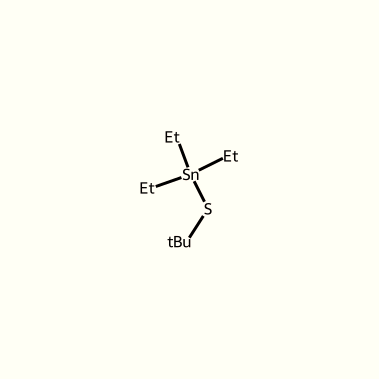 C[CH2][Sn]([CH2]C)([CH2]C)[S]C(C)(C)C